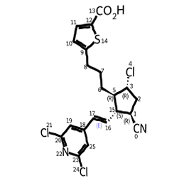 N#C[C@@H]1C[C@@H](Cl)[C@H](CCCc2ccc(C(=O)O)s2)[C@H]1/C=C/c1cc(Cl)nc(Cl)c1